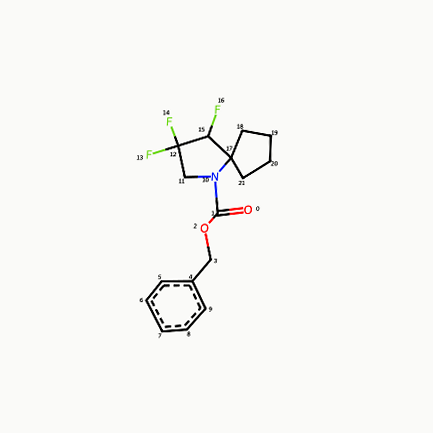 O=C(OCc1ccccc1)N1CC(F)(F)C(F)C12CCCC2